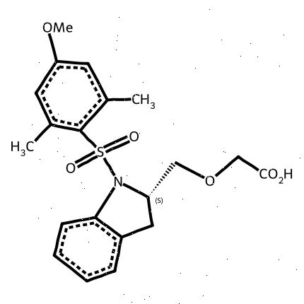 COc1cc(C)c(S(=O)(=O)N2c3ccccc3C[C@H]2COCC(=O)O)c(C)c1